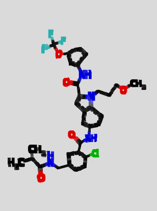 COCCCn1c(C(=O)Nc2cccc(OC(F)(F)F)c2)cc2cc(NC(=O)c3cc(CNC(=O)C(C)C)ccc3Cl)ccc21